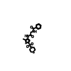 Cc1sc(S(=O)(=O)N2CCSCC2)cc1NC(=O)CNC(=O)c1ccccc1